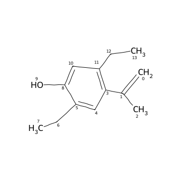 C=C(C)c1cc(CC)c(O)cc1CC